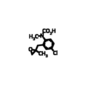 CN(C(=O)O)c1ccc(Cl)cc1CC1(C)CO1